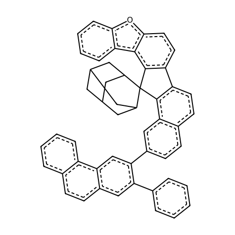 c1ccc(-c2cc3ccc4ccccc4c3cc2-c2ccc3ccc4c(c3c2)C2(c3c-4ccc4oc5ccccc5c34)C3CC4CC(C3)CC2C4)cc1